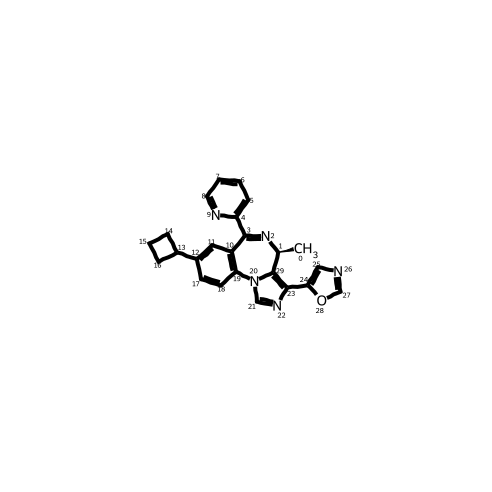 C[C@@H]1N=C(c2ccccn2)c2cc(C3CCC3)ccc2-n2cnc(-c3cnco3)c21